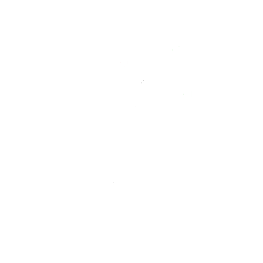 CC(C)(C)c1ccc(C(=O)C(Cl)Cl)cc1